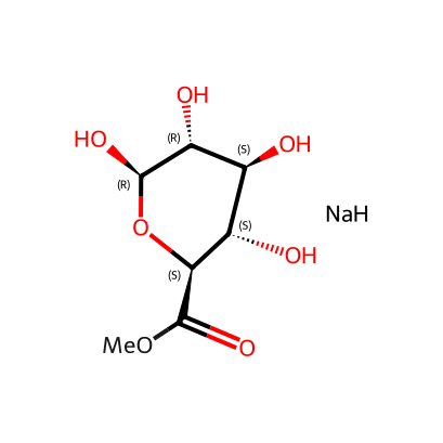 COC(=O)[C@H]1O[C@@H](O)[C@H](O)[C@@H](O)[C@@H]1O.[NaH]